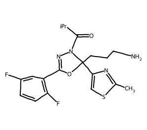 Cc1nc(C2(CCCN)OC(c3cc(F)ccc3F)=NN2C(=O)C(C)C)cs1